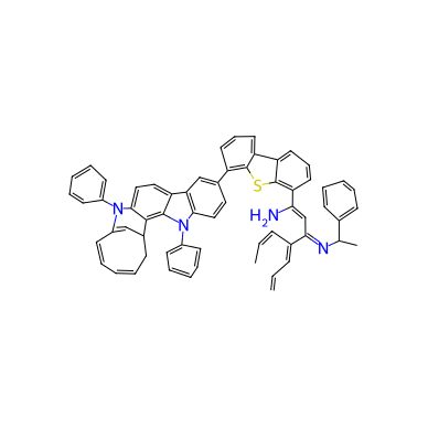 C=C/C=C(\C=C/C)C(/C=C(\N)c1cccc2c1sc1c(-c3ccc4c(c3)c3ccc5c(c3n4-c3ccccc3)C3C=C(/C=C\C=C/C3)N5c3ccccc3)cccc12)=N/C(C)c1ccccc1